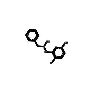 Oc1ccc(Cl)c(NN(O)Cc2ccccc2)c1